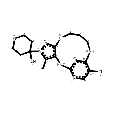 Cc1c2c(nn1C1(C#N)CCOCC1)OCCCNc1nc(ncc1Cl)N2